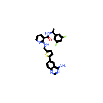 CC(NC(=O)c1cccnc1NCc1ccc(-c2ccc3ncnc(N)c3c2)s1)c1cc(F)cc(F)c1